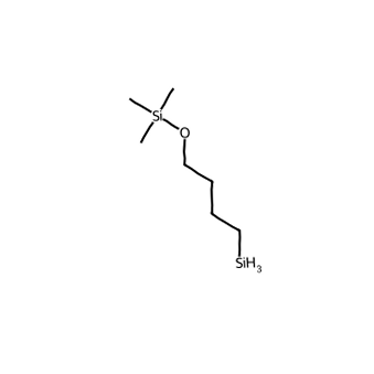 C[Si](C)(C)OCCCC[SiH3]